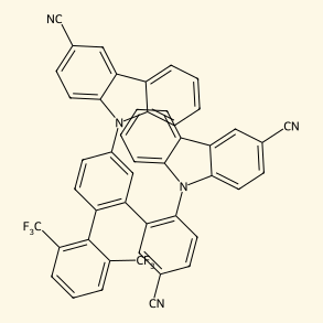 N#Cc1ccc(-n2c3ccccc3c3cc(C#N)ccc32)c(-c2cc(-n3c4ccccc4c4cc(C#N)ccc43)ccc2-c2c(C(F)(F)F)cccc2C(F)(F)F)c1